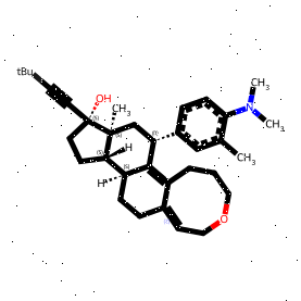 Cc1cc([C@H]2C[C@@]3(C)[C@@H](CC[C@@]3(O)C#CC(C)(C)C)[C@@H]3CC/C4=C/COCCCC4=C32)ccc1N(C)C